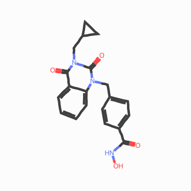 O=C(NO)c1ccc(Cn2c(=O)n(CC3CC3)c(=O)c3ccccc32)cc1